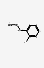 O=NONc1ccccc1F